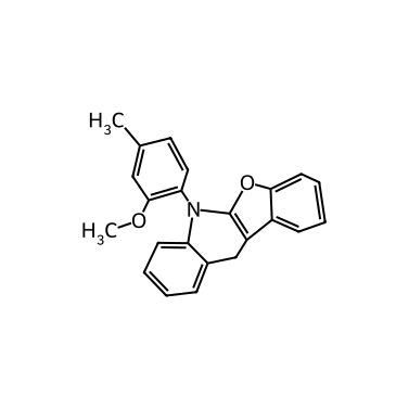 COc1cc(C)ccc1N1c2ccccc2Cc2c1oc1ccccc21